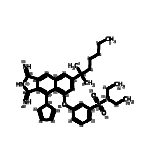 CCCCCC(C)(C)c1cc(Oc2cccc(S(=O)(=O)N(CC)CC)c2)c2c(C3C=CC=C3)c3c(cc2c1)C(=N)NC3=N